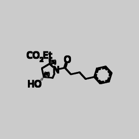 CCOC(=O)[C@@H]1C[C@@H](O)CN1C(=O)CCCc1ccccc1